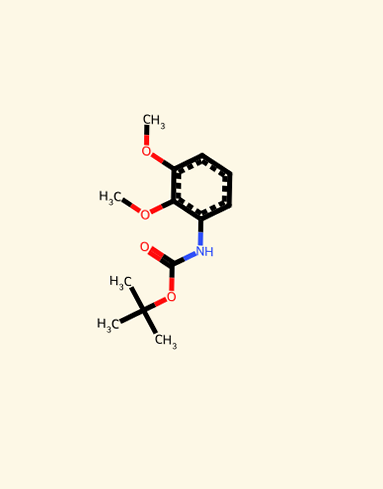 COc1cccc(NC(=O)OC(C)(C)C)c1OC